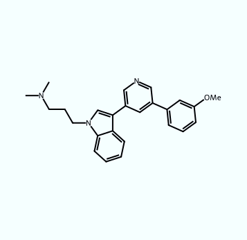 COc1cccc(-c2cncc(-c3cn(CCCN(C)C)c4ccccc34)c2)c1